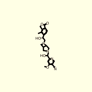 COc1cc(C(O)CN2CC3CN(C[C@H](O)c4ccc5c(c4C)COC5=O)C3C2)ncc1C#N